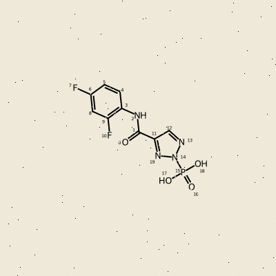 O=C(Nc1ccc(F)cc1F)c1cnn(P(=O)(O)O)n1